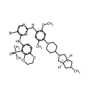 COc1cc(N2CCC(N3C[C@H]4CN(C)C[C@H]4C3)CC2)c(C)cc1Nc1ncc(Br)c(Nc2ccc3c(c2P(C)(C)=O)OCCO3)n1